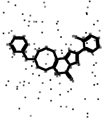 O=c1[nH]c2c(c3nc(-c4ccccc4F)nn13)CCCC(Cc1cccnc1)CC2